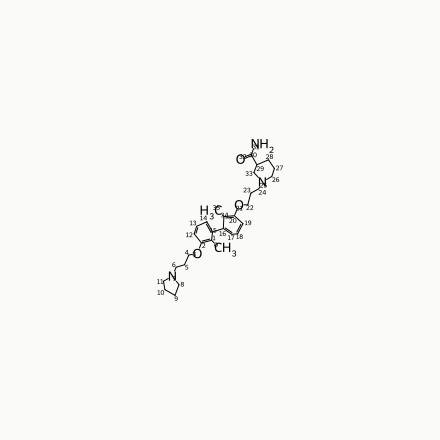 Cc1c(OCCCN2CCCC2)cccc1-c1cccc(OCCCN2CCCC(C(N)=O)C2)c1C